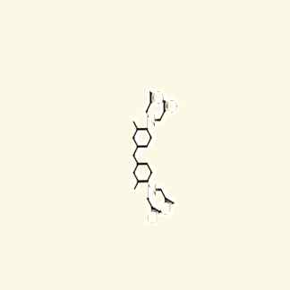 CC1CC(CC2CCC(N(CC3CO3)CC3CO3)C(C)C2)CCC1N(CC1CO1)CC1CO1